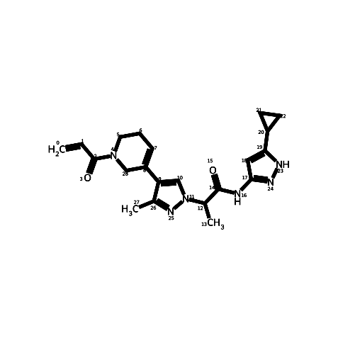 C=CC(=O)N1CCC=C(c2cn(C(C)C(=O)Nc3cc(C4CC4)[nH]n3)nc2C)C1